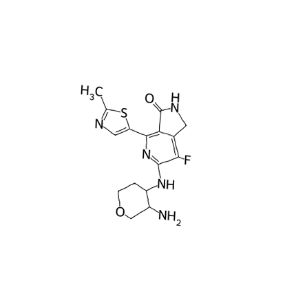 Cc1ncc(-c2nc(NC3CCOCC3N)c(F)c3c2C(=O)NC3)s1